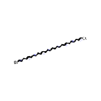 CC/C=C/C/C=C/C/C=C/C/C=C/C/C=C/CC/C=C/C/C=C/C/C=C/C/C=C/CC